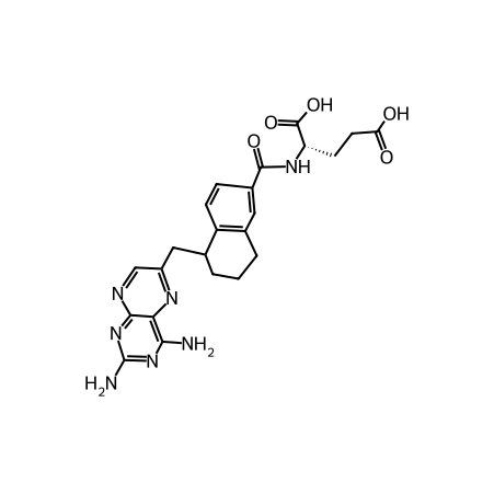 Nc1nc(N)c2nc(CC3CCCc4cc(C(=O)N[C@@H](CCC(=O)O)C(=O)O)ccc43)cnc2n1